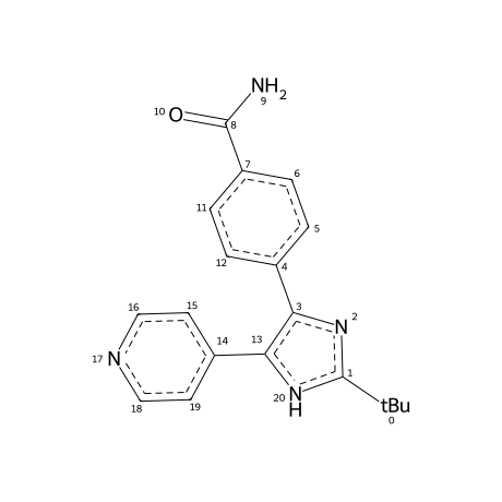 CC(C)(C)c1nc(-c2ccc(C(N)=O)cc2)c(-c2ccncc2)[nH]1